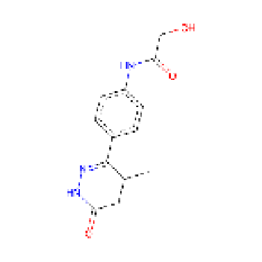 CC1CC(=O)NN=C1c1ccc(NC(=O)CO)cc1